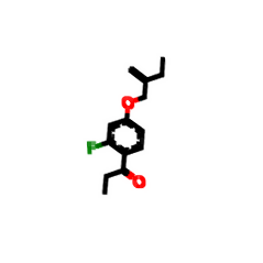 C=C(CC)COc1ccc(C(=O)CC)c(F)c1